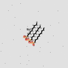 CCCCCCCCCC[PH](=O)[O-].CCCCCCCCCC[PH](=O)[O-].CCCCCCCCCC[PH](=O)[O-].[Nd+3]